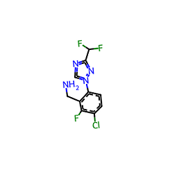 NCc1c(-n2cnc(C(F)F)n2)ccc(Cl)c1F